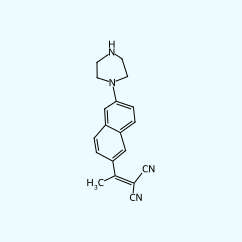 CC(=C(C#N)C#N)c1ccc2cc(N3CCNCC3)ccc2c1